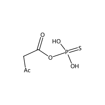 CC(=O)CC(=O)OP(O)(O)=S